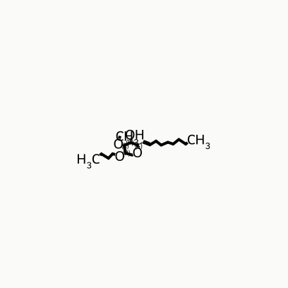 CCCCCCCC=C[C@@H]1OC[C@@H](OCCCC)[C@H](OC)[C@@H]1O